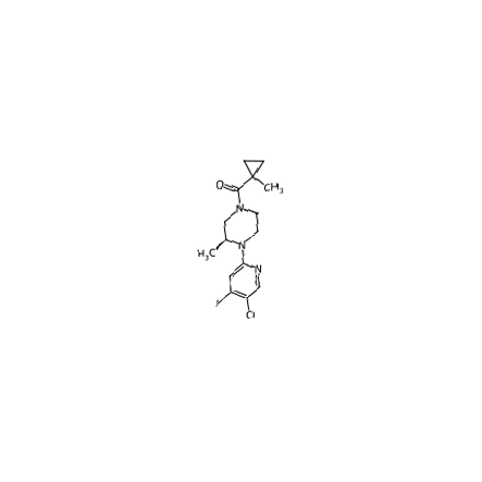 C[C@H]1CN(C(=O)C2(C)CC2)CCN1c1cc(I)c(Cl)cn1